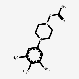 Cc1cc(N2CCN(OC(=O)C(C)(C)C)CC2)cc(N)c1N